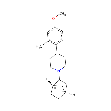 COc1ccc(C2CCN(C3C[C@H]4CC[C@H]3C4)CC2)c(C)c1